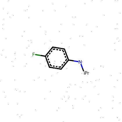 CC(C)[N]c1ccc(F)cc1